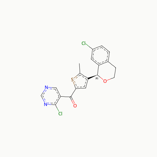 Cc1sc(C(=O)c2cncnc2Cl)cc1[C@@H]1OCCc2ccc(Cl)cc21